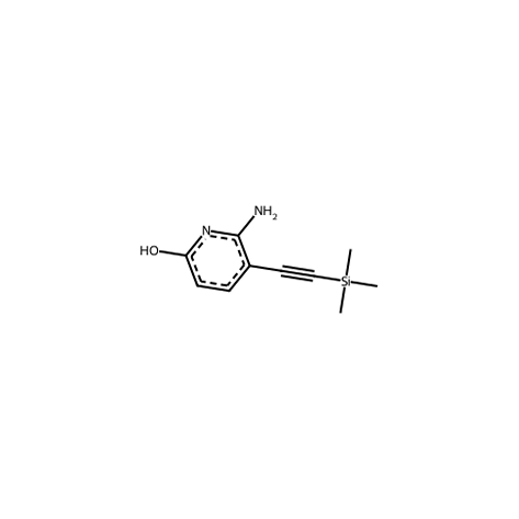 C[Si](C)(C)C#Cc1ccc(O)nc1N